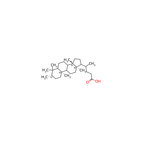 CC(CCC(=O)O)C1CC[C@@]2(C)C3CCC4C(C)(C)[C@@H](C)CC[C@]4(C)C3CC[C@]12C